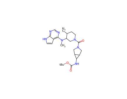 CC1CCN(C(=O)N2CC3C(C2)C3NC(=O)OC(C)(C)C)CC1N(C)c1ncnc2[nH]ccc12